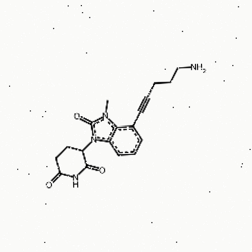 Cn1c(=O)n(C2CCC(=O)NC2=O)c2cccc(C#CCCCN)c21